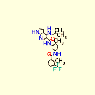 Cc1ccc(NC(=O)c2cccc(C(F)(F)F)c2C)cc1NC(=O)c1cnc2[nH]ccc2c1NCC(C)C